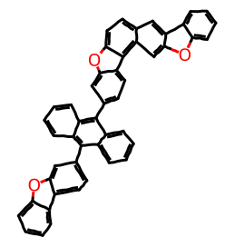 c1ccc2c(c1)oc1cc(-c3c4ccccc4c(-c4ccc5c(c4)oc4ccc6cc7c(cc6c45)oc4ccccc47)c4ccccc34)ccc12